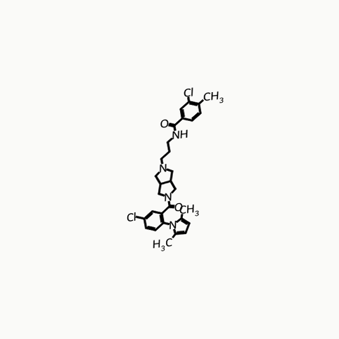 Cc1ccc(C(=O)NCCCN2CC3CN(C(=O)c4cc(Cl)ccc4-n4c(C)ccc4C)CC3C2)cc1Cl